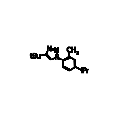 Cc1cc(C(C)C)ccc1-n1cc(C(C)(C)C)nn1